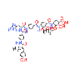 COc1c(NC(=O)c2ccc(NC(=O)c3ccc(NC(=O)[C@H](Cc4c[nH]cn4)NC(=O)c4ccc(NC(=O)/C(C)=C/c5ccc(O)cc5)cc4)cc3)c(OC)c2O)ccc(C(=O)O)c1O